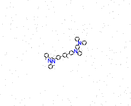 Cc1cc(-c2ccc(-c3cc(-c4ccccc4C)nc(-c4ccccc4C)n3)cc2)ccc1-c1ccc(-n2c3ccccc3c3cc(N(c4ccccc4)c4ccccc4)ccc32)cc1